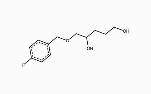 OCCCC(O)COCc1ccc(F)cc1